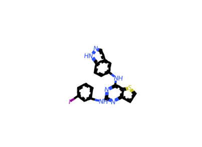 Ic1cccc(Nc2nc(Nc3ccc4[nH]ncc4c3)c3sccc3n2)c1